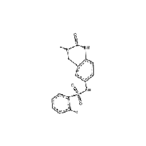 CN1Cc2cc(NS(=O)(=O)c3ccccc3F)ccc2NC1=O